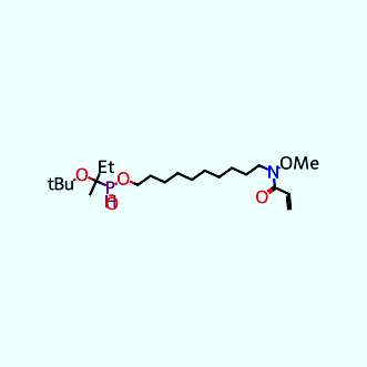 C=CC(=O)N(CCCCCCCCCCO[PH](=O)C(C)(CC)OC(C)(C)C)OC